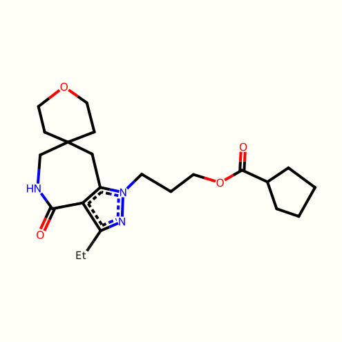 CCc1nn(CCCOC(=O)C2CCCC2)c2c1C(=O)NCC1(CCOCC1)C2